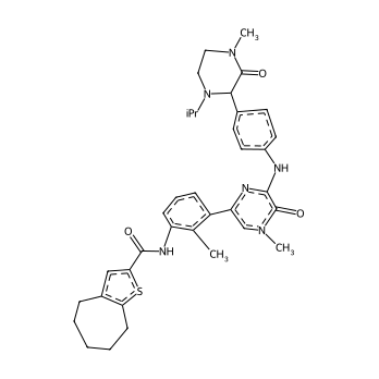 Cc1c(NC(=O)c2cc3c(s2)CCCCC3)cccc1-c1cn(C)c(=O)c(Nc2ccc(C3C(=O)N(C)CCN3C(C)C)cc2)n1